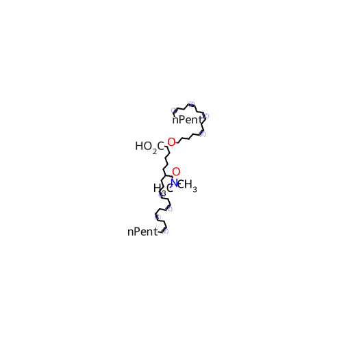 CCCCC/C=C\C/C=C\C/C=C\C/C=C\CCCCOC(CCCCC(CC/C=C\C/C=C\C/C=C\C/C=C\CCCCC)C(=O)N(C)C)C(=O)O